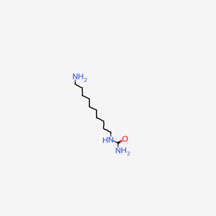 NCCCCCCCCCCNC(N)=O